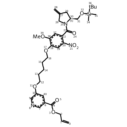 C=CCOC(=O)c1cncc(OCCCCCOc2cc([N+](=O)[O-])c(C(=O)N3CC(=C)C[C@H]3CO[Si](C)(C)C(C)(C)C)cc2OC)c1